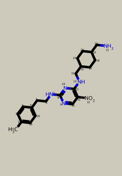 Cc1ccc(CCNc2ncc([N+](=O)[O-])c(NCC3CCC(CN)CC3)n2)cc1